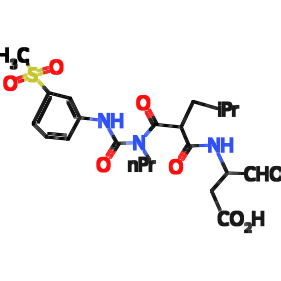 CCCN(C(=O)Nc1cccc(S(C)(=O)=O)c1)C(=O)C(CC(C)C)C(=O)NC(C=O)CC(=O)O